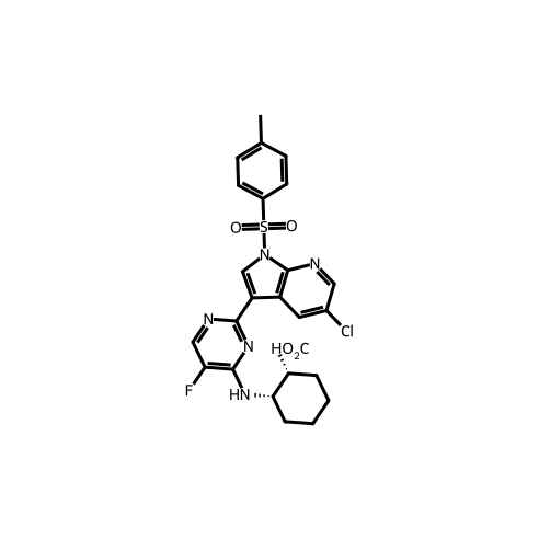 Cc1ccc(S(=O)(=O)n2cc(-c3ncc(F)c(N[C@H]4CCCC[C@H]4C(=O)O)n3)c3cc(Cl)cnc32)cc1